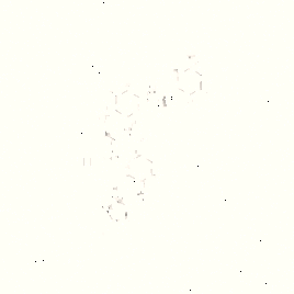 Cc1cc(Nc2ccc3c(c2)N(C)C(=O)N(c2cc(NC(=O)c4cccc(C(F)(F)F)c4)ccc2C)C3)n(C)n1